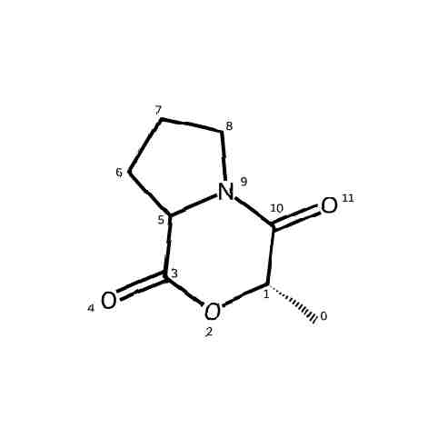 C[C@@H]1OC(=O)C2CCCN2C1=O